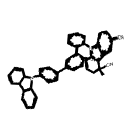 CC1(C#N)CC=Cc2c1c1cc(C#N)ccc1n2-c1ccccc1-c1cc(-c2ccc(N3C4C=CC=CC4C4C=CC=CC43)cc2)ccc1C#N